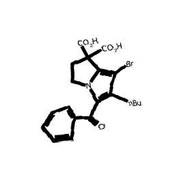 CCCCc1c(Br)c2n(c1C(=O)c1ccccc1)CCC2(C(=O)O)C(=O)O